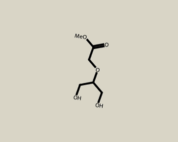 COC(=O)COC(CO)CO